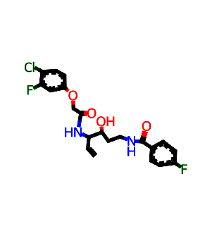 C=CC(NC(=O)COc1ccc(Cl)c(F)c1)C(O)CCNC(=O)c1ccc(F)cc1